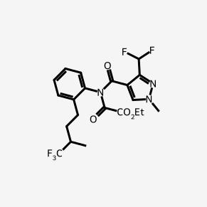 CCOC(=O)C(=O)N(C(=O)c1cn(C)nc1C(F)F)c1ccccc1CCC(C)C(F)(F)F